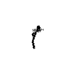 CCCCCCCCCCC[C@H]1CCN[C@@H](C(=O)N[C@@H](CO)[C@H](O)c2ccccc2)C1